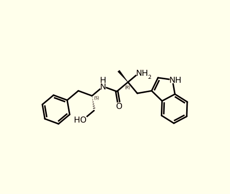 C[C@@](N)(Cc1c[nH]c2ccccc12)C(=O)N[C@H](CO)Cc1ccccc1